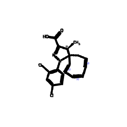 C[C@@H]1C(C(=O)O)=NN(c2ccc(Cl)cc2Cl)C12/C=C/C=C\C=C/C2